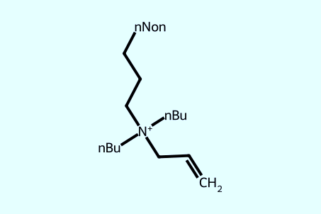 C=CC[N+](CCCC)(CCCC)CCCCCCCCCCCC